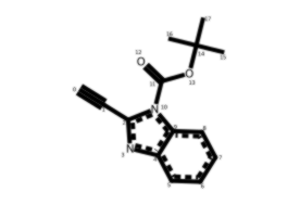 C#Cc1nc2ccccc2n1C(=O)OC(C)(C)C